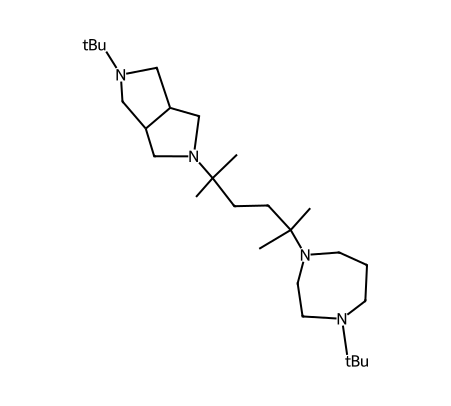 CC(C)(C)N1CCCN(C(C)(C)CCC(C)(C)N2CC3CN(C(C)(C)C)CC3C2)CC1